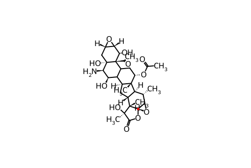 CC(=O)O[C@H]1CC2C([C@@H](O)[C@@H](N)[C@@]3(O)C[C@@H]4O[C@@H]4[C@H](O)[C@]23C(C)=O)[C@@H]2C[C@@H]3[C@H]([C@H](C)[C@H]4O[C@]45OC(=O)[C@@](C)(O)[C@]35C)[C@@]12C